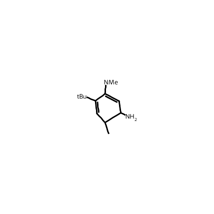 CNC1=CC(N)C(C)C=C1C(C)(C)C